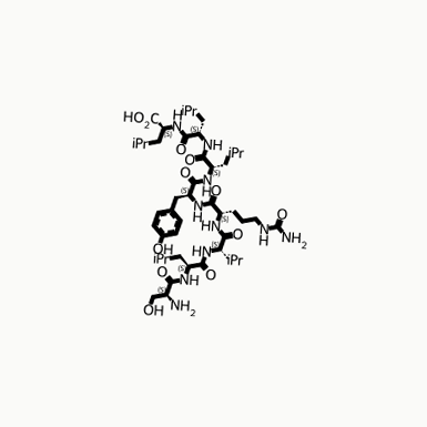 CC(C)C[C@H](NC(=O)[C@H](CC(C)C)NC(=O)[C@H](CC(C)C)NC(=O)[C@H](Cc1ccc(O)cc1)NC(=O)[C@H](CCCNC(N)=O)NC(=O)[C@@H](NC(=O)[C@H](CC(C)C)NC(=O)[C@@H](N)CO)C(C)C)C(=O)O